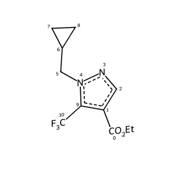 CCOC(=O)c1cnn(CC2CC2)c1C(F)(F)F